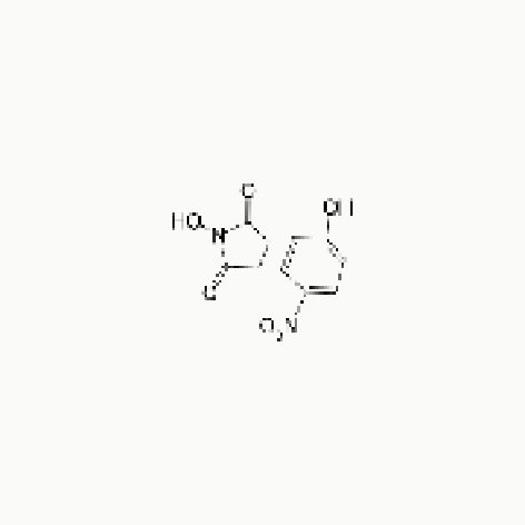 O=C1CCC(=O)N1O.O=[N+]([O-])c1ccc(O)cc1